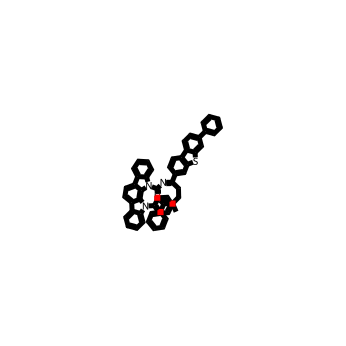 C/C1=C(c2ccccc2)/N=C(n2c3ccccc3c3ccc4c5ccccc5n(-c5ccccc5)c4c32)\N=C(\c2ccc3c(c2)sc2cc(-c4ccccc4)ccc23)CC1